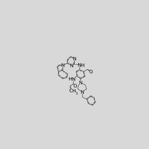 C=CC(=O)Nc1cc(Nc2nccc(-n3ccc4ccccc43)n2)c(C=O)cc1N1CCN(Cc2ccccc2)CC1